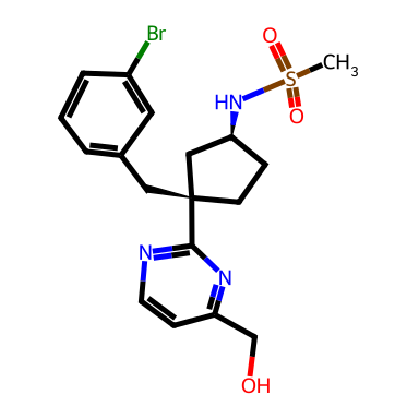 CS(=O)(=O)N[C@H]1CC[C@](Cc2cccc(Br)c2)(c2nccc(CO)n2)C1